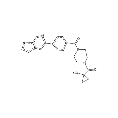 O=C(c1ccc(-c2cn3ccnc3cn2)cc1)N1CCN(C(=O)C2(O)CC2)CC1